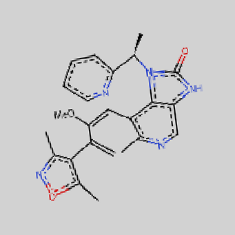 C=C(/C(=C\c1c(C)ncc2[nH]c(=O)n([C@H](C)c3ccccn3)c12)OC)c1c(C)noc1C